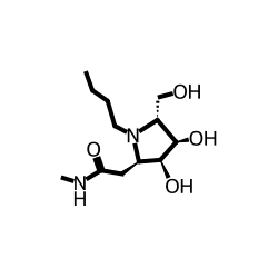 CCCCN1[C@H](CC(=O)NC)[C@H](O)[C@H](O)[C@H]1CO